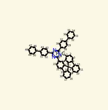 Cc1ccc2c(c1)C1(c3ccccc3-2)c2ccccc2-c2ccc(-c3nc(-c4ccc(-c5ccccc5)cc4)nc(-c4ccc(-c5ccccc5)cc4)n3)cc21